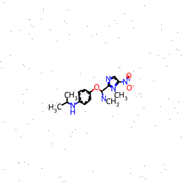 C=NC(Oc1ccc(NC(C)C)cc1)c1ncc([N+](=O)[O-])n1C